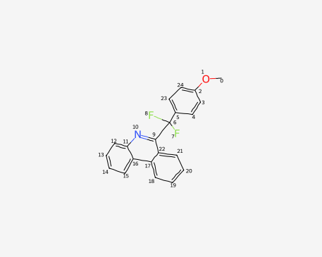 COc1ccc(C(F)(F)c2nc3ccccc3c3ccccc23)cc1